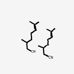 CC(C)=CCCC(C)CC#N.CC(C)=CCCC(C)CC#N